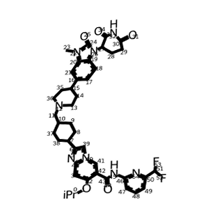 CC(C)Oc1cc2nc(C3CCC(CN4CCC(c5ccc6c(c5)n(C)c(=O)n6C5CCC(=O)NC5=O)CC4)CC3)cn2cc1C(=O)Nc1cccc(C(F)F)n1